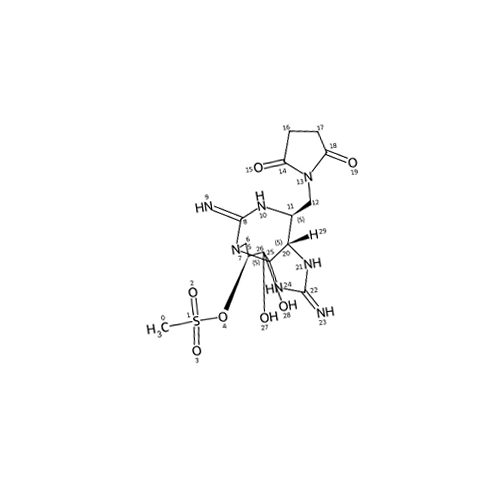 CS(=O)(=O)O[C@H]1CN2C(=N)N[C@@H](CN3C(=O)CCC3=O)[C@@H]3NC(=N)NC32C1(O)O